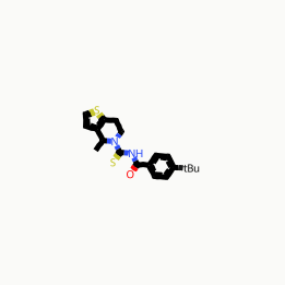 CC1c2ccsc2CCN1C(=S)NC(=O)c1ccc(C(C)(C)C)cc1